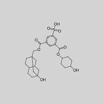 O=C(OCC12CCC3CCC(O)(CC3C1)C2)c1cc(C(=O)OC2CCC(O)CC2)cc(S(=O)(=O)O)c1